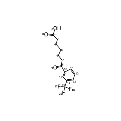 O=C(O)CCCCCC(=O)c1cccc(C(F)(F)F)c1